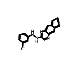 Clc1cccc(NNc2cnc3cc4ccccc4cc3n2)c1